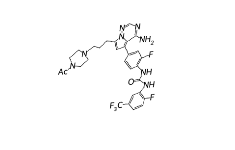 CC(=O)N1CCN(CCCc2cc(-c3ccc(NC(=O)Nc4cc(C(F)(F)F)ccc4F)c(F)c3)c3c(N)ncnn23)CC1